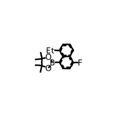 CCc1cccc2c(F)ccc(B3OC(C)(C)C(C)(C)O3)c12